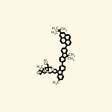 CCC1(COCCCC2(COCC3(CC)COC3)c3cc(C)ccc3-c3ccc(-c4ccc5c(c4)C(C)(C)c4cc(-c6ccc7ccc8cc(C(C)(C)C)cc9ccc6c7c89)ccc4-5)cc32)COC1